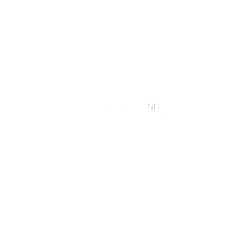 C=C(N)/C=c1\c(=C)sc2ccccc12